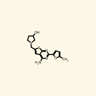 Cc1ccc(-c2nc(N)c3cc(CN4CCC(O)C4)sc3n2)o1